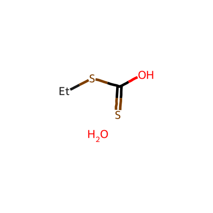 CCSC(O)=S.O